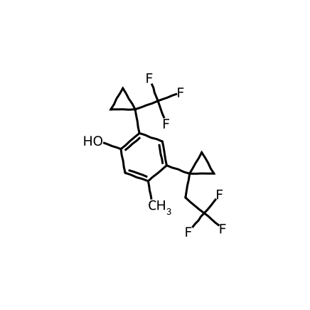 Cc1cc(O)c(C2(C(F)(F)F)CC2)cc1C1(CC(F)(F)F)CC1